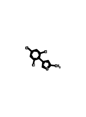 Cc1cc(-c2c(Cl)cc(Cl)cc2Cl)co1